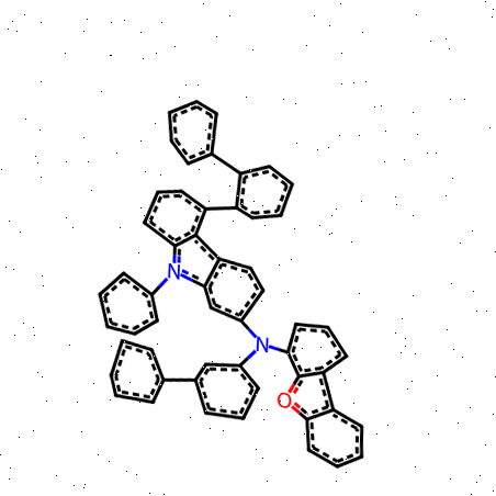 c1ccc(-c2cccc(N(c3ccc4c5c(-c6ccccc6-c6ccccc6)cccc5n(-c5ccccc5)c4c3)c3cccc4c3oc3ccccc34)c2)cc1